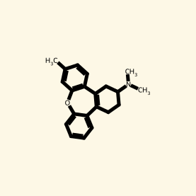 Cc1ccc2c(c1)Oc1ccccc1C1=C2CC(N(C)C)CC1